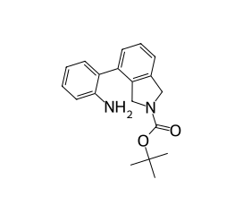 CC(C)(C)OC(=O)N1Cc2cccc(-c3ccccc3N)c2C1